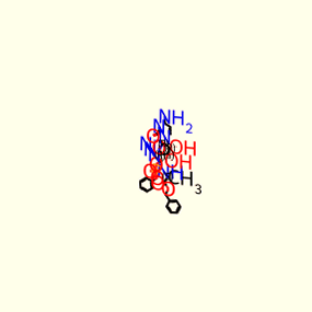 C[C@H](NP(=O)(OC[C@@]1(N=[N+]=[N-])O[C@@H](n2ccc(N)nc2=O)[C@H](O)[C@@H]1O)Oc1ccccc1)C(=O)OCc1ccccc1